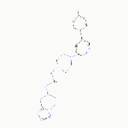 O=C(CN1CCN(c2cncc(-c3ccc(F)cc3)c2)CC1)NC1CCn2ccnc2C1